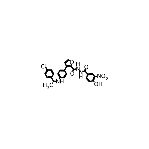 C[C@H](Nc1ccc(-c2ccoc2C(=O)NNC(=O)c2ccc(O)c([N+](=O)[O-])c2)cc1)c1ccc(Cl)cc1